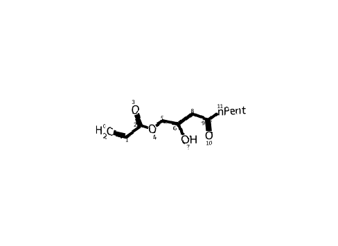 C=CC(=O)OCC(O)CC(=O)CCCCC